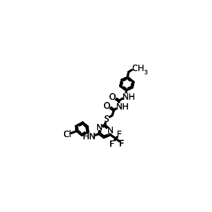 CCc1ccc(NC(=O)NC(=O)CSc2nc(Nc3cccc(Cl)c3)cc(C(F)(F)F)n2)cc1